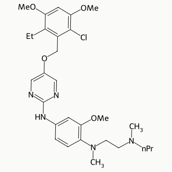 CCCN(C)CCN(C)c1ccc(Nc2ncc(OCc3c(Cl)c(OC)cc(OC)c3CC)cn2)cc1OC